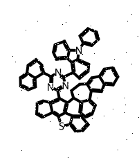 c1ccc(-n2c3ccccc3c3c(-c4nc(-c5cccc6ccccc56)nc(-c5c(C6CCc7cc8ccccc8cc7-c7ccccc76)c6c7ccccc7sc6c6ccccc56)n4)cccc32)cc1